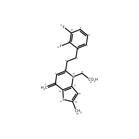 C=C1C=C(CCc2cccc(F)c2F)N(CC(=O)O)c2cc(C)sc21